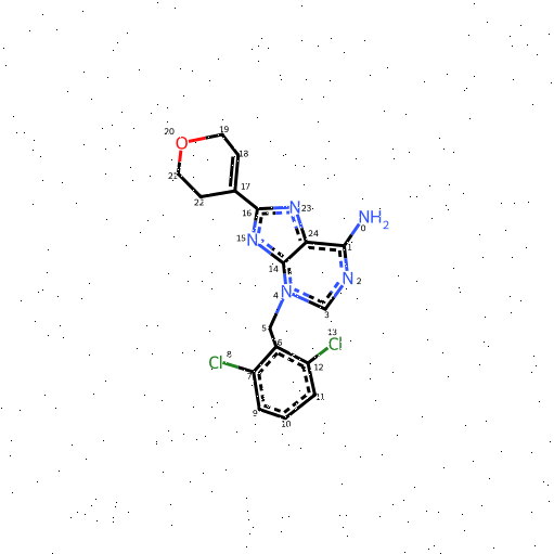 Nc1ncn(Cc2c(Cl)cccc2Cl)c2nc(C3=CCOCC3)nc1-2